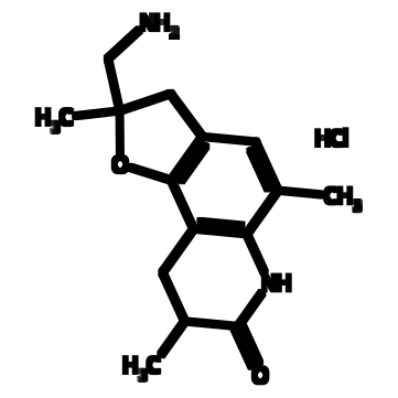 Cc1cc2c(c3c1NC(=O)C(C)C3)OC(C)(CN)C2.Cl